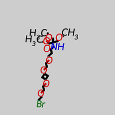 CCOCC(COCC)(COCC)NC(=O)CCOCCOC1CC(OCCOCCBr)C1